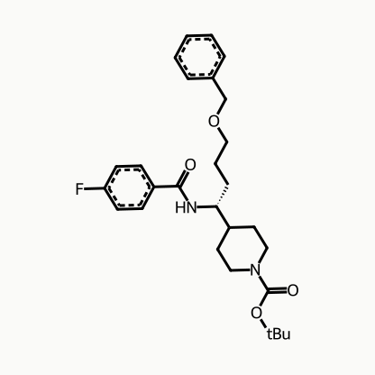 CC(C)(C)OC(=O)N1CCC([C@@H](CCCOCc2ccccc2)NC(=O)c2ccc(F)cc2)CC1